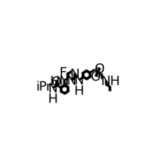 C=CCNCCS(=O)(=O)Cc1ccc(Nc2ncc(F)c(Nc3ccccc3C(=O)NC(C)C)n2)cc1